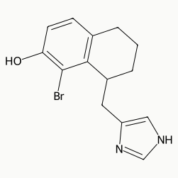 Oc1ccc2c(c1Br)C(Cc1c[nH]cn1)CCC2